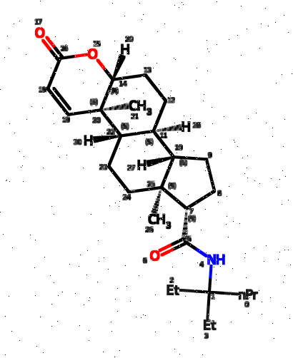 CCCC(CC)(CC)NC(=O)[C@H]1CC[C@H]2[C@@H]3CC[C@H]4OC(=O)C=C[C@]4(C)[C@H]3CC[C@]12C